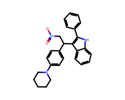 O=[N+]([O-])CC(c1ccc(N2CCCCC2)cc1)c1c(-c2ccccc2)[nH]c2ccccc12